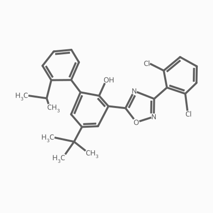 CC(C)c1ccccc1-c1cc(C(C)(C)C)cc(-c2nc(-c3c(Cl)cccc3Cl)no2)c1O